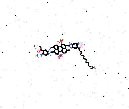 CCCCCCCCCCC(=O)c1cc2c(cc1N)nc1n2Cc2ccc3c4c([N+](=O)[O-])cc5c6c(ccc(c7c([N+](=O)[O-])cc-1c2c37)c64)Cn1c-5nc2cc(N)c(C(=O)CC)cc21